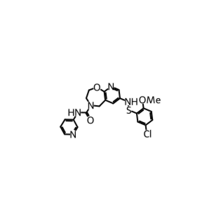 COc1ccc(Cl)cc1SNc1cnc2c(c1)CN(C(=O)Nc1cccnc1)CCO2